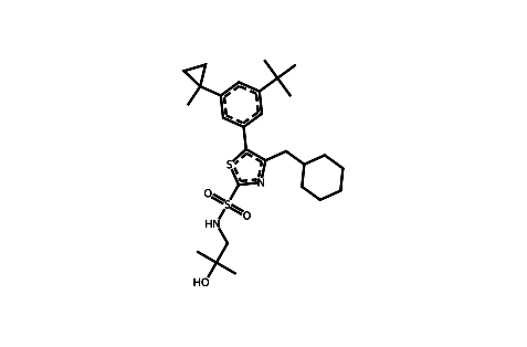 CC(C)(O)CNS(=O)(=O)c1nc(CC2CCCCC2)c(-c2cc(C(C)(C)C)cc(C3(C)CC3)c2)s1